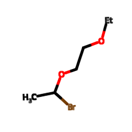 CCOCCOC(C)Br